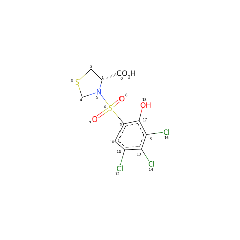 O=C(O)[C@H]1CSCN1S(=O)(=O)c1cc(Cl)c(Cl)c(Cl)c1O